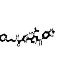 CC(C)Nc1cc(Nc2ccc3ncsc3c2)ncc1-c1nc(C(=O)NCCCN2CCCCC2)cs1